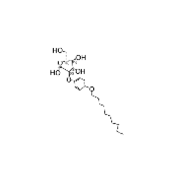 CCCCCCCCCCOc1ccc(O[C@@H]2[C@@H](O)[C@H](O)[C@@H](CO)O[C@H]2O)cc1